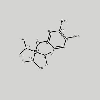 CC(C)[Si](Oc1ccc(F)c(F)c1)(C(C)C)C(C)C